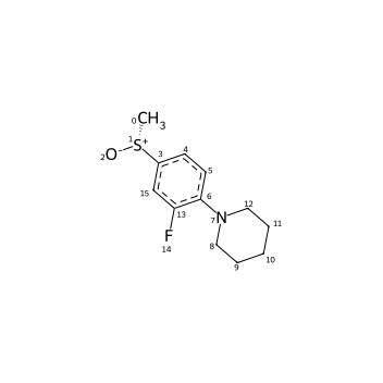 C[S@@+]([O-])c1ccc(N2CCCCC2)c(F)c1